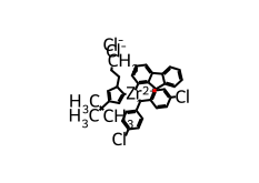 CCCC1C=C(C(C)(C)C)C=[C]1[Zr+2](=[C](c1ccc(Cl)cc1)c1ccc(Cl)cc1)[c]1cccc2c1Cc1ccccc1-2.[Cl-].[Cl-]